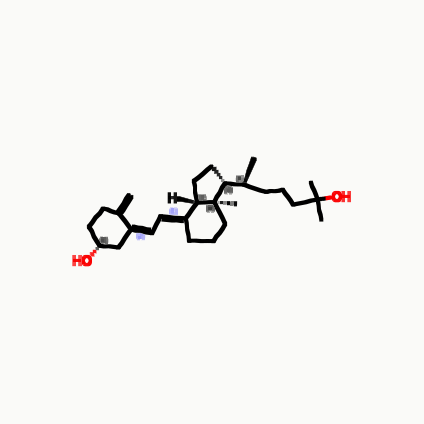 C=C1CC[C@@H](O)C/C1=C/C=C1\CCC[C@]2(C)[C@@H]([C@@H](C)CCCC(C)(C)O)CC[C@@H]12